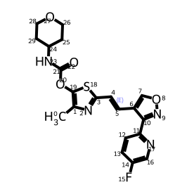 Cc1nc(/C=C/c2conc2-c2ccc(F)cn2)sc1OC(=O)NC1CCOCC1